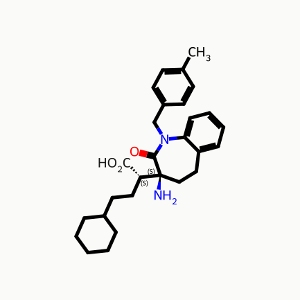 Cc1ccc(CN2C(=O)[C@@](N)([C@H](CCC3CCCCC3)C(=O)O)CCc3ccccc32)cc1